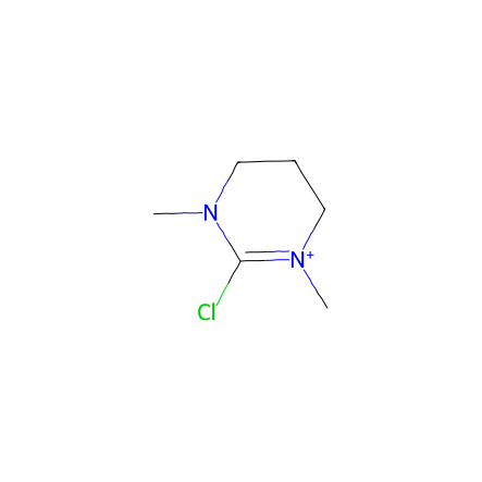 CN1CCC[N+](C)=C1Cl